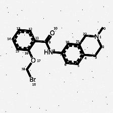 CN1CCc2ccc(NC(=O)c3ccccc3OCBr)cc2C1